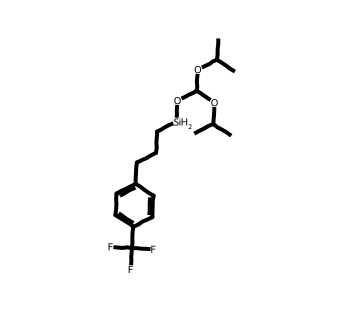 CC(C)OC(O[SiH2]CCCc1ccc(C(F)(F)F)cc1)OC(C)C